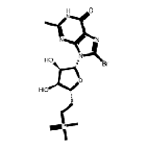 C=P(C)(C)CC[C@H]1O[C@@H](n2c(Br)nc3c(=O)[nH]c(C)nc32)[C@H](O)[C@@H]1O